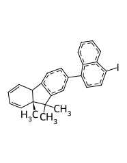 CC1(C)c2cc(-c3ccc(I)c4ccccc34)ccc2C2C=CC=C[C@]21C